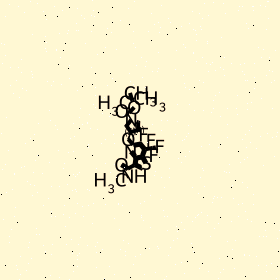 CNC(=O)c1csc2c(C(F)(F)F)cc(O[C@H]3CN(C(=O)OC(C)(C)C)C[C@H]3F)nc12